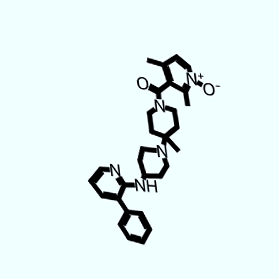 Cc1cc[n+]([O-])c(C)c1C(=O)N1CCC(C)(N2CCC(Nc3ncccc3-c3ccccc3)CC2)CC1